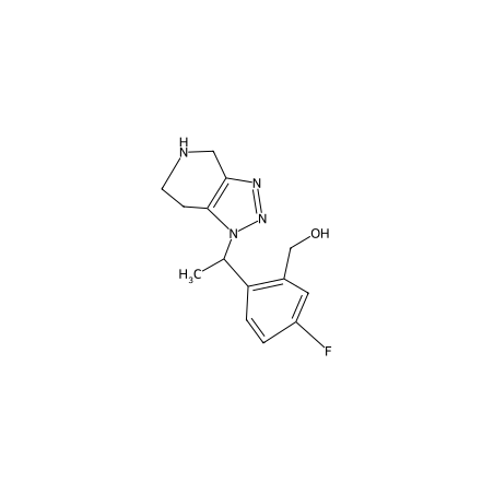 CC(c1ccc(F)cc1CO)n1nnc2c1CCNC2